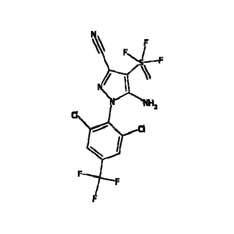 C=S(F)(F)(F)c1c(C#N)nn(-c2c(Cl)cc(C(F)(F)F)cc2Cl)c1N